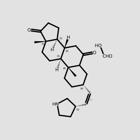 C[C@]12CC[C@@H](/C=C\[C@@H]3CCNC3)CC1C(=O)C[C@@H]1[C@@H]2CC[C@]2(C)C(=O)CC[C@@H]12.O=CO